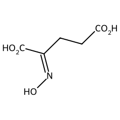 O=C(O)CCC(=NO)C(=O)O